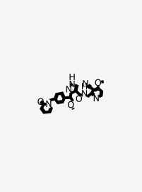 COCC(c1ccc(Cn2ccccc2=O)cc1)c1n[nH]cc1C(=O)NCc1nccc(OC)c1C#N